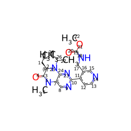 CC[C@@H]1C(=O)N(C)c2cnc(-c3ccncc3CNC(=O)OC)nc2N1C(C)C